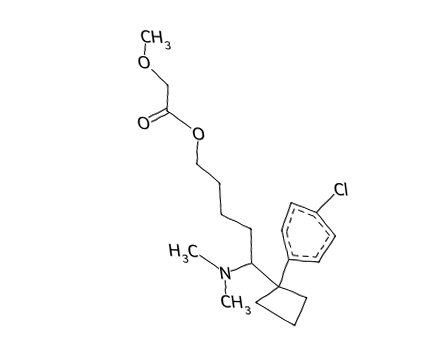 COCC(=O)OCCCCC(N(C)C)C1(c2ccc(Cl)cc2)CCC1